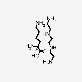 NCCCC[C@H](N)C(=O)O.NCCNCCNCCN